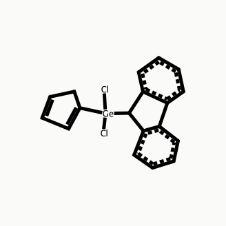 [Cl][Ge]([Cl])([C]1=CC=CC1)[CH]1c2ccccc2-c2ccccc21